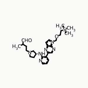 CC(C=O)CCN1CC[C@@H](Nc2ncccc2-c2cnc3c(ccn3COCC[Si](C)(C)C)n2)C1